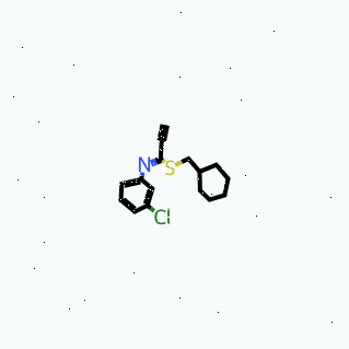 C#CC(=Nc1cccc(Cl)c1)SCC1CCCCC1